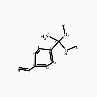 C=Cc1ccc(C([SiH3])(OC)OC)cc1